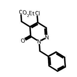 CCOC(=O)Cc1c(Cl)cnn(Cc2ccccc2)c1=O